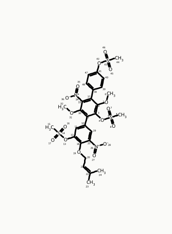 COc1c(OS(C)(=O)=O)c(-c2cc(OS(C)(=O)=O)c(OCC=C(C)C)c([N+](=O)[O-])c2)c(OC)c([N+](=O)[O-])c1-c1ccc(OS(C)(=O)=O)cc1